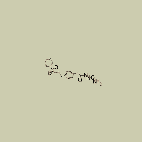 NON=NC(=O)Cc1ccc(CCCS(=O)(=O)c2ccccc2)cc1